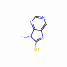 Sc1nc2cncnc2n1Cl